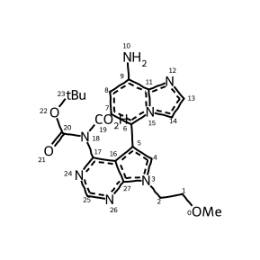 COCCn1cc(-c2ccc(N)c3nccn23)c2c(N(C(=O)O)C(=O)OC(C)(C)C)ncnc21